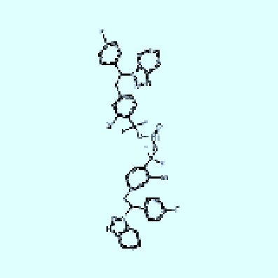 O=[PH](OC(F)(F)c1ccc(CC(c2ccc(F)cc2)n2nnc3ccccc32)cc1Br)OC(F)(F)c1ccc(CC(c2ccc(F)cc2)n2nnc3ccccc32)cc1Br